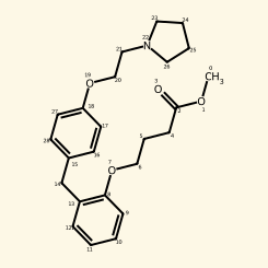 COC(=O)CCCOc1ccc[c]c1Cc1ccc(OCCN2CCCC2)cc1